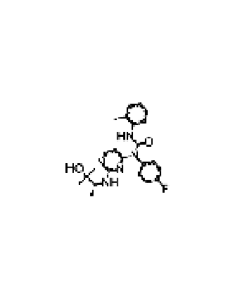 Cc1ccccc1NC(=O)N(c1ccc(F)cc1)c1ccnc(N[C@@H](C)C(C)(C)O)n1